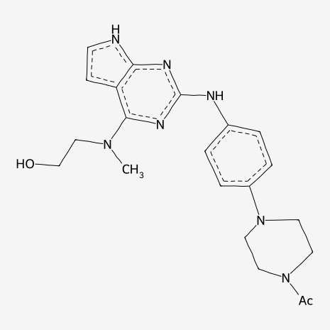 CC(=O)N1CCN(c2ccc(Nc3nc(N(C)CCO)c4cc[nH]c4n3)cc2)CC1